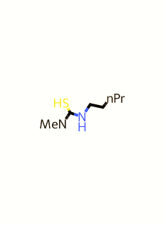 CCCCCNC(S)NC